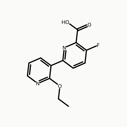 CCOc1ncccc1-c1ccc(F)c(C(=O)O)n1